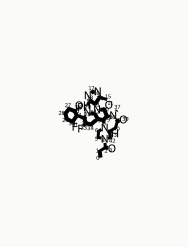 C=CC(=O)N1CCN2c3c(c(=O)n(-c4c(C)ncnc4C(C)C)c4nc(-c5c(O)cccc5F)c(F)cc34)N(C)C(=O)C[C@H]2C1